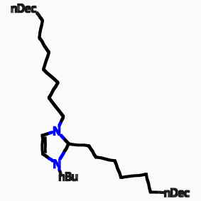 CCCCCCCCCCCCCCCCCN1C=CN(CCCC)C1CCCCCCCCCCCCCCCC